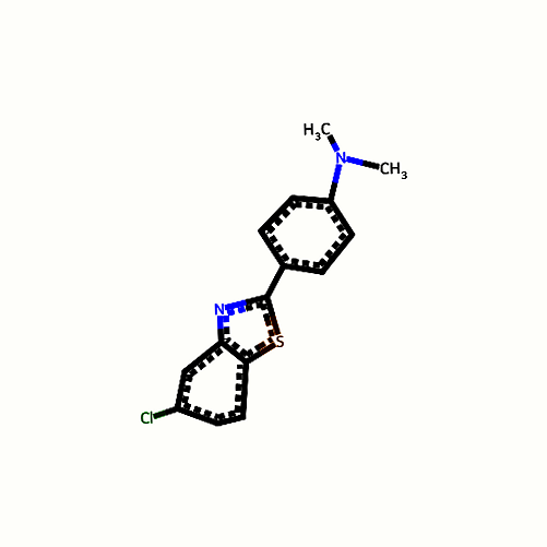 CN(C)c1ccc(-c2nc3cc(Cl)ccc3s2)cc1